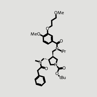 COCCCOc1cc(C(=O)N(C[C@H]2CN(C(=O)OC(C)(C)C)C[C@@H]2CN(C)C(=O)Cc2ccccc2)C(C)C)ccc1OC